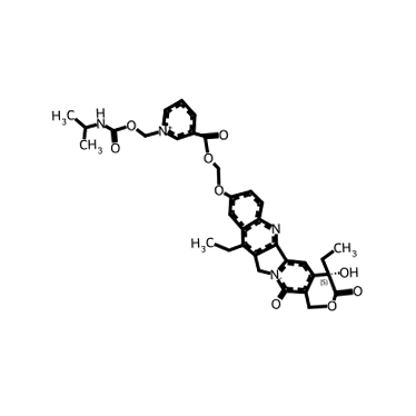 CCc1c2c(nc3ccc(OCOC(=O)c4ccc[n+](COC(=O)NC(C)C)c4)cc13)-c1cc3c(c(=O)n1C2)COC(=O)[C@]3(O)CC